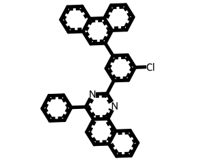 Clc1cc(-c2nc(-c3ccccc3)c3ccc4ccccc4c3n2)cc(-c2cc3ccccc3c3ccccc23)c1